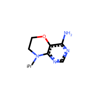 CC(C)N1CCOc2c(N)ncnc21